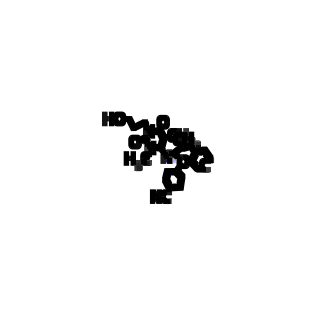 CC(=C/c1ccccc1)/C(=N\c1c(C)c(=O)n(CCCO)c(=O)n1C)Oc1ccc(C#N)cc1